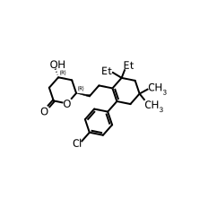 CCC1(CC)CC(C)(C)CC(c2ccc(Cl)cc2)=C1CC[C@@H]1C[C@@H](O)CC(=O)O1